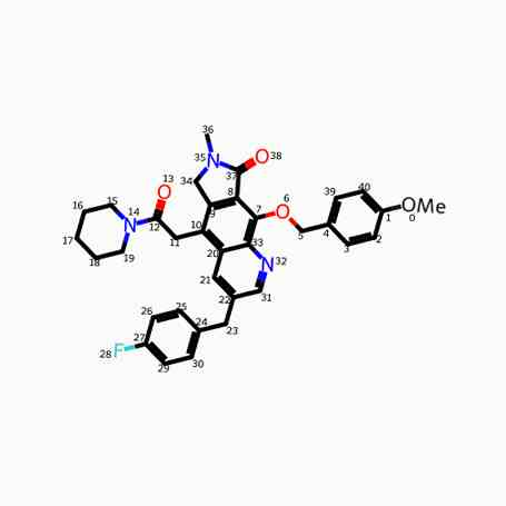 COc1ccc(COc2c3c(c(CC(=O)N4CCCCC4)c4cc(Cc5ccc(F)cc5)cnc24)CN(C)C3=O)cc1